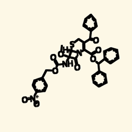 COC1(NC(=O)OCc2ccc([N+](=O)[O-])cc2)C(=O)N2C(C(=O)OC(c3ccccc3)c3ccccc3)=C(C(=O)c3ccccc3)CS[C@H]21